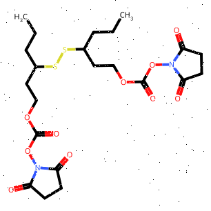 CCCC(CCOC(=O)ON1C(=O)CCC1=O)SSC(CCC)CCOC(=O)ON1C(=O)CCC1=O